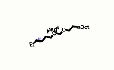 [CH2]C/C=C/CCOCOCCCCCCCCCC.[I][Mg][I]